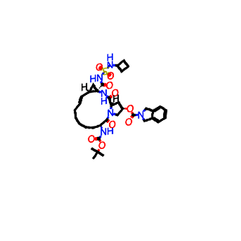 CC(C)(C)OC(=O)N[C@H]1CCCCC/C=C/[C@@H]2C[C@@]2(C(=O)NS(=O)(=O)NC2CCC2)NC(=O)[C@@H]2C[C@@H](OC(=O)N3Cc4ccccc4C3)CN2C1=O